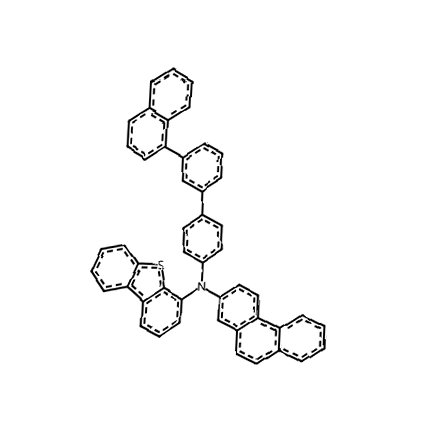 c1cc(-c2ccc(N(c3ccc4c(ccc5ccccc54)c3)c3cccc4c3sc3ccccc34)cc2)cc(-c2cccc3ccccc23)c1